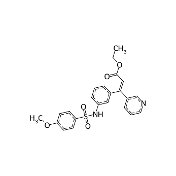 CCOC(=O)C=C(c1cccnc1)c1cccc(NS(=O)(=O)c2ccc(OC)cc2)c1